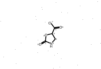 O=C1NCC(C(=O)Cl)O1